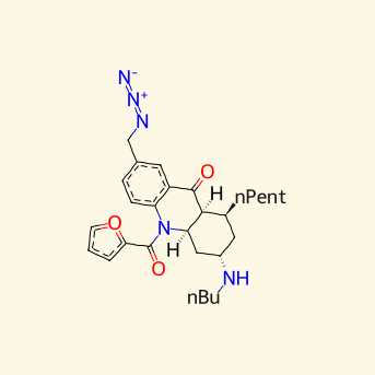 CCCCC[C@H]1C[C@H](NCCCC)C[C@@H]2[C@H]1C(=O)c1cc(CN=[N+]=[N-])ccc1N2C(=O)c1ccco1